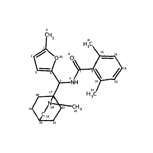 Cc1ccc(C(NC(=O)c2c(C)cccc2C)C23CCC(CC2)CN3C)o1